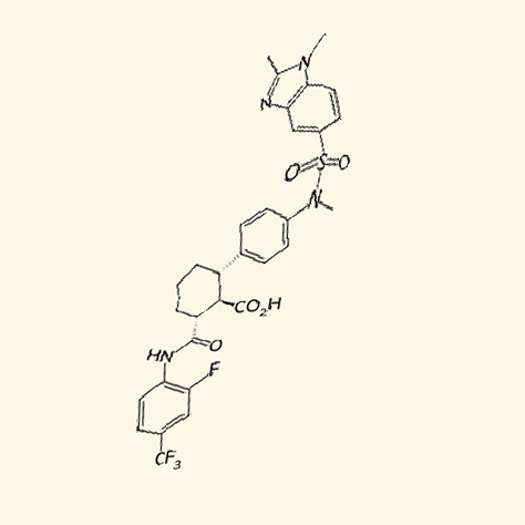 Cc1nc2cc(S(=O)(=O)N(C)c3ccc([C@H]4CCC[C@@H](C(=O)Nc5ccc(C(F)(F)F)cc5F)[C@@H]4C(=O)O)cc3)ccc2n1C